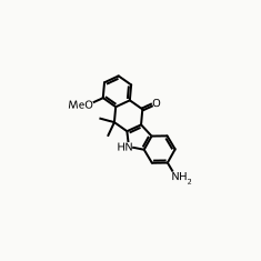 COc1cccc2c1C(C)(C)c1[nH]c3cc(N)ccc3c1C2=O